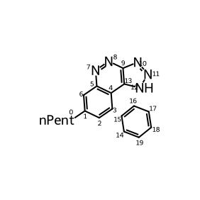 CCCCCc1ccc2c(c1)nnc1nn[nH]c12.c1ccccc1